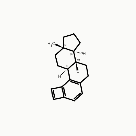 C[C@@]12CCC[C@H]1[C@@H]1CCc3c[c]c4c(c3[C@H]1CC2)C=C4